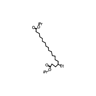 CCC(CCCCCCCCCCCCCCC(=O)OC(C)C)CCC(=O)OC(C)C